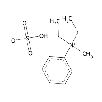 CC[N+](C)(CC)c1ccccc1.O=S(=O)([O-])O